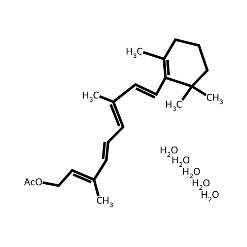 CC(=O)OCC=C(C)C=CC=C(C)C=CC1=C(C)CCCC1(C)C.O.O.O.O.O